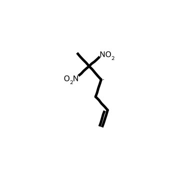 C=CC[CH]C(C)([N+](=O)[O-])[N+](=O)[O-]